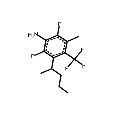 CCCC(C)c1c(F)c(N)c(F)c(C)c1C(F)(F)F